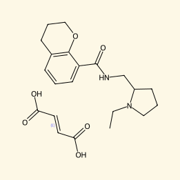 CCN1CCCC1CNC(=O)c1cccc2c1OCCC2.O=C(O)/C=C/C(=O)O